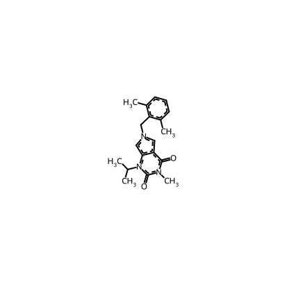 Cc1cccc(C)c1Cn1cc2c(=O)n(C)c(=O)n(C(C)C)c2c1